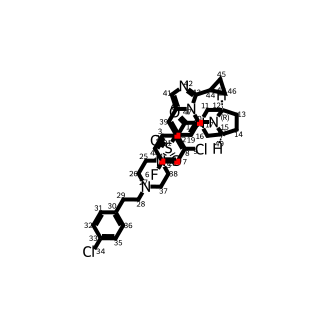 O=C(c1ccc(F)cc1Cl)N1C[C@H]2CC[C@@H](C1)N2c1cc(S(=O)(=O)N2CCN(CCc3ccc(Cl)cc3)CC2)cc2cnc(C3CC3)n12